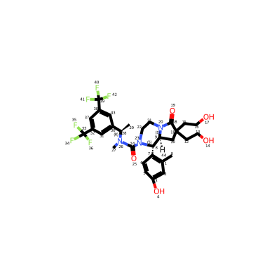 Cc1cc(O)ccc1[C@H]1[C@@H]2CC(CCO)(CCO)C(=O)N2CCN1C(=O)N(C)[C@H](C)c1cc(C(F)(F)F)cc(C(F)(F)F)c1